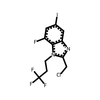 Fc1cc(I)cc2nc(CCl)n(CCC(F)(F)F)c12